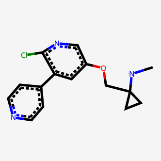 C[N]C1(COc2cnc(Cl)c(-c3ccncc3)c2)CC1